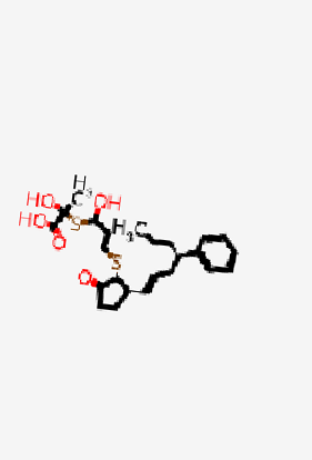 CCC[C@H](C/C=C/[C@H]1CCC(=O)[C@@H]1SCCC(O)SC(C)(O)C(=O)O)c1ccccc1